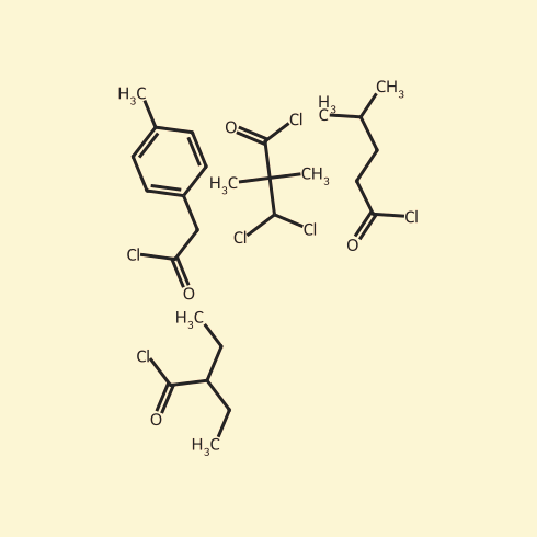 CC(C)(C(=O)Cl)C(Cl)Cl.CC(C)CCC(=O)Cl.CCC(CC)C(=O)Cl.Cc1ccc(CC(=O)Cl)cc1